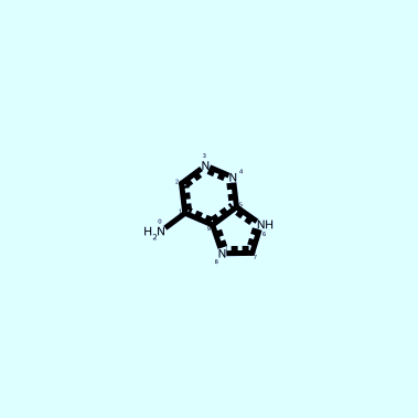 Nc1cnnc2[nH]cnc12